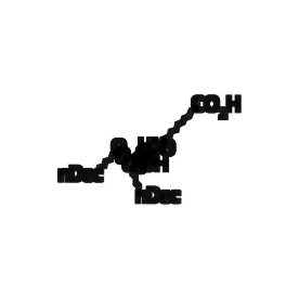 CCCCCCCCCCCCCCCC(=O)OCC(COP(=O)(O)OCCNC(=O)CCCCCCCCCCC(=O)O)OC(=O)CCCCCCCCCCCCCCC